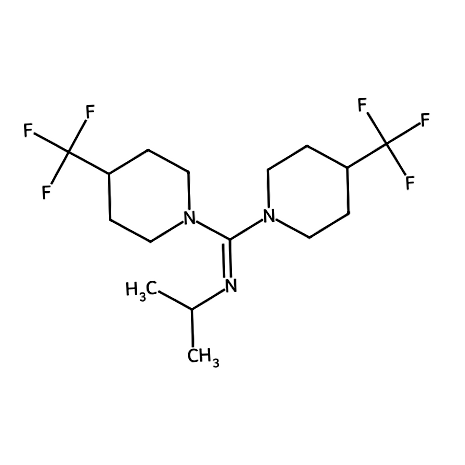 CC(C)N=C(N1CCC(C(F)(F)F)CC1)N1CCC(C(F)(F)F)CC1